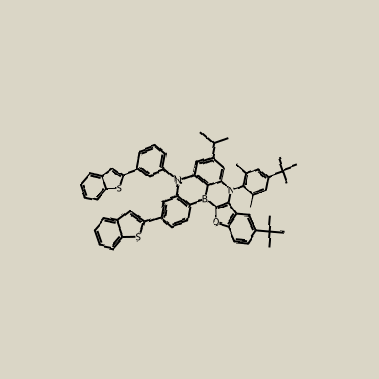 Cc1cc(C(C)(C)C)cc(C)c1N1c2cc(C(C)C)cc3c2B(c2ccc(-c4cc5ccccc5s4)cc2N3c2cccc(-c3cc4ccccc4s3)c2)c2oc3ccc(C(C)(C)C)cc3c21